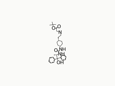 C[C@@H](NC(=O)N[C@H]1CC[C@H](CCN(C)CC(=O)OC(C)(C)C)CC1)C(O)(c1ccccc1)c1ccccc1